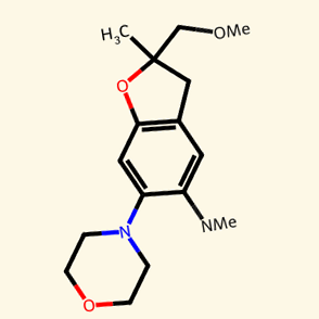 CNc1cc2c(cc1N1CCOCC1)OC(C)(COC)C2